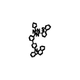 c1ccc(-c2nc(-c3cccc(-c4ccc(-n5c6ccccc6c6ccc7ccccc7c65)cc4)c3)nc(-c3cccc4c3sc3ccccc34)n2)cc1